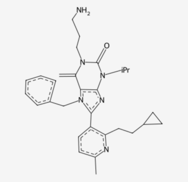 C=C1c2c(nc(-c3ccc(C)nc3CCC3CC3)n2Cc2ccccc2)N(C(C)C)C(=O)N1CCCN